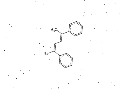 CCC(=CC=C(C)c1ccccc1)c1ccccc1